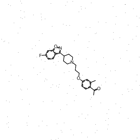 CC(=O)c1ccc(OCCCN2CCC(c3noc4cc(F)ccc34)CC2)cc1C